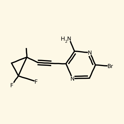 CC1(C#Cc2ncc(Br)nc2N)CC1(F)F